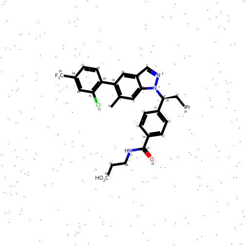 Cc1cc2c(cnn2[C@@H](CC(C)C)c2ccc(C(=O)NCCC(=O)O)cc2)cc1-c1ccc(C(F)(F)F)cc1Cl